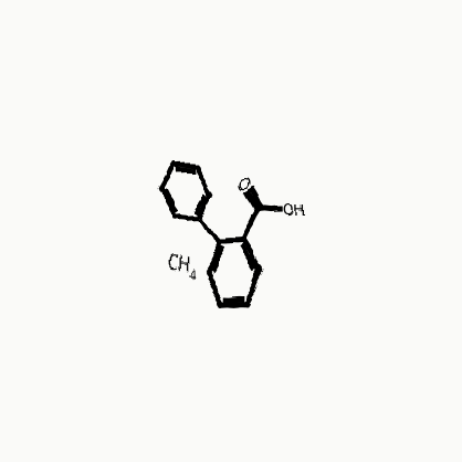 C.O=C(O)c1ccccc1-c1ccccc1